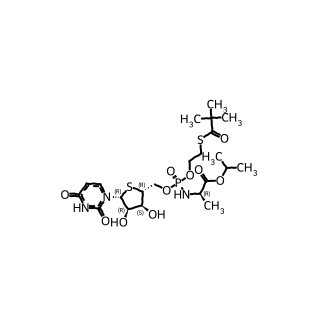 CC(C)OC(=O)[C@@H](C)NP(=O)(OCCSC(=O)C(C)(C)C)OC[C@H]1S[C@@H](n2ccc(=O)[nH]c2=O)[C@H](O)[C@@H]1O